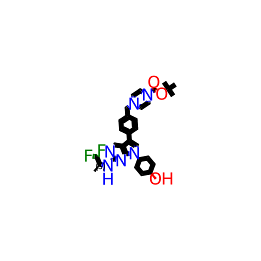 C[C@H](Nc1ncc2c(-c3ccc(CN4CCN(C(=O)OC(C)(C)C)CC4)cc3)cn([C@H]3CC[C@H](O)CC3)c2n1)C(F)F